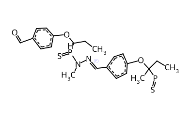 CCC(Oc1ccc(C=O)cc1)[PH](=S)N(C)/N=C/c1ccc(OC(C)(CC)P=S)cc1